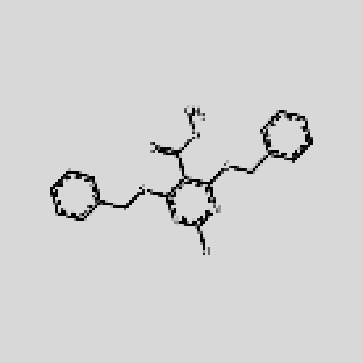 COC(=O)c1c(SCc2ccccc2)nc(Cl)nc1SCc1ccccc1